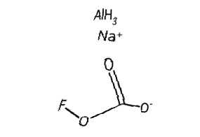 O=C([O-])OF.[AlH3].[Na+]